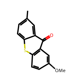 COc1ccc2sc3ccc(C)cc3c(=O)c2c1